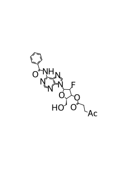 CC(=O)CCC(=O)OC1C(F)[C@H](n2cnc3c(NC(=O)c4ccccc4)ncnc32)O[C@@H]1CO